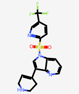 O=S(=O)(c1ccc(C(F)(F)F)cn1)n1cc(C2=CCNCC2)c2ncccc21